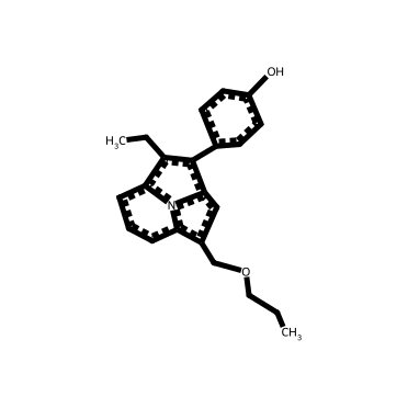 CCCOCc1cc2c(-c3ccc(O)cc3)c(CC)c3cccc1n32